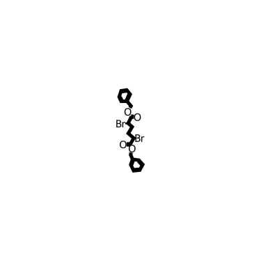 O=C(OCc1ccccc1)[C@H](Br)CC[C@H](Br)C(=O)OCc1ccccc1